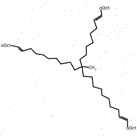 CCCCCCCCC=CCCCCCCCCC(C)(CCCCCCC=CCCCCCCCC)CCCCCCCCC=CCCCCCCCC